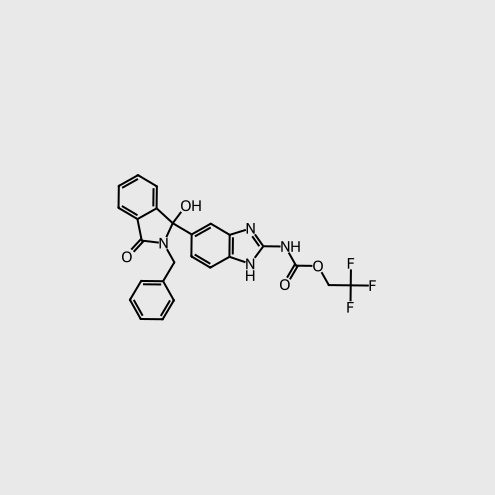 O=C(Nc1nc2cc(C3(O)c4ccccc4C(=O)N3Cc3ccccc3)ccc2[nH]1)OCC(F)(F)F